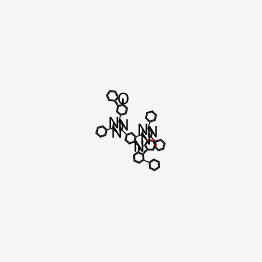 c1ccc(-c2nc(-c3ccc(-n4c5ccccc5c5c(-c6ccccc6)cccc54)c(-c4nc(-c5ccccc5)nc(-c5ccccc5)n4)c3)nc(-c3ccc4oc5ccccc5c4c3)n2)cc1